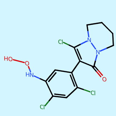 O=c1c(-c2cc(NOO)c(Cl)cc2Cl)c(Cl)n2n1CCCC2